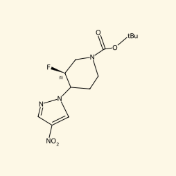 CC(C)(C)OC(=O)N1CCC(n2cc([N+](=O)[O-])cn2)[C@@H](F)C1